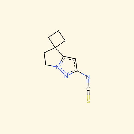 S=C=Nc1cc2n(n1)CCC21CCC1